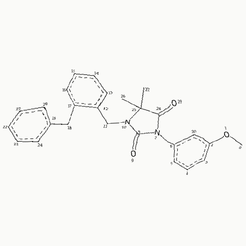 COc1cccc(N2C(=O)N(Cc3ccccc3Cc3ccccc3)C(C)(C)C2=O)c1